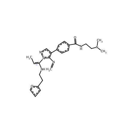 C=Nc1c(-c2ccc(C(=O)NCCN(C)C)cc2)cnn1/C(=C\C)NCCc1ccco1